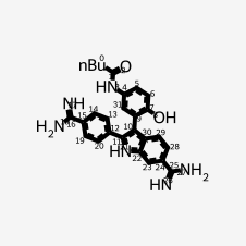 CCCCC(=O)Nc1ccc(O)c(-c2c(-c3ccc(C(=N)N)cc3)[nH]c3cc(C(=N)N)ccc23)c1